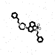 O=S1(=O)c2cccc3c(N4CCCN(CCc5ccccc5)CC4)ccc(c23)N1CCc1ccccc1